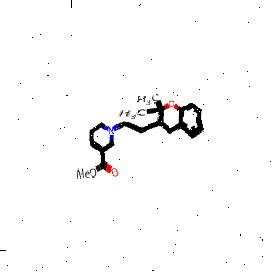 COC(=O)C1=CCCN(CCC2Cc3ccccc3OC2(C)C)C1